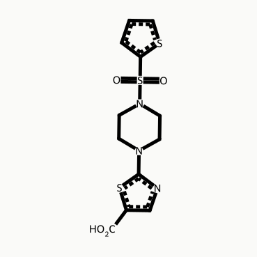 O=C(O)c1cnc(N2CCN(S(=O)(=O)c3cccs3)CC2)s1